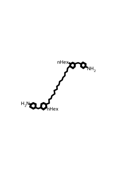 CCCCCCc1cc(Cc2ccc(N)cc2)ccc1CCCCCCCCCCCCCCCCc1ccc(Cc2ccc(N)cc2)cc1CCCCCC